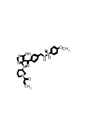 C=CC(=O)N1CCC[C@@H](n2nc(-c3ccc(CNS(=O)(=O)c4ccc(OC)cc4)cc3)c3c(N)ncnc32)C1